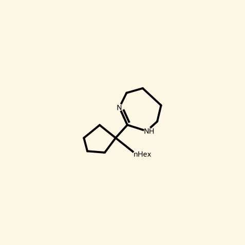 CCCCCCC1(C2=NCCCCN2)CCCC1